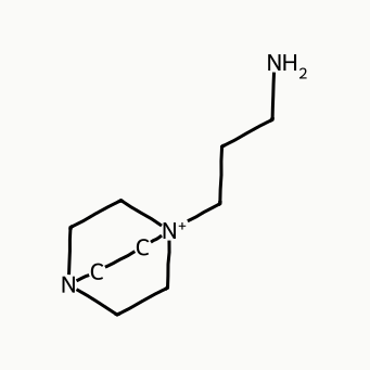 NCCC[N+]12CCN(CC1)CC2